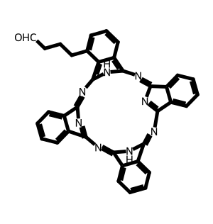 O=CCCCc1cccc2c3nc4nc(nc5[nH]c(nc6nc(nc([nH]3)c12)-c1ccccc1-6)c1ccccc51)-c1ccccc1-4